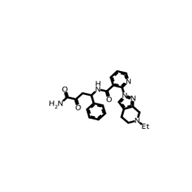 CCN1CCc2cn(-c3ncccc3C(=O)NC(CC(=O)C(N)=O)c3ccccc3)nc2C1